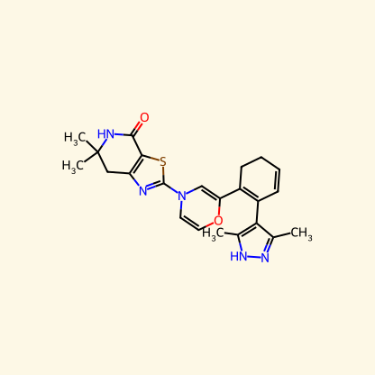 Cc1n[nH]c(C)c1C1=C(C2=CN(c3nc4c(s3)C(=O)NC(C)(C)C4)C=CO2)CCC=C1